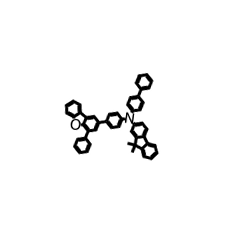 CC1(C)c2ccccc2-c2ccc(N(c3ccc(-c4ccccc4)cc3)c3ccc(-c4cc(-c5ccccc5)c5oc6ccccc6c5c4)cc3)cc21